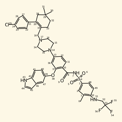 Cc1cc(S(=O)(=O)NC(=O)c2ccc(N3CCN(CC4=C(c5ccc(Cl)cc5)CC(C)(C)CC4)CC3)cc2Oc2ccc3[nH]ccc3c2)ccc1NCC(F)(F)F